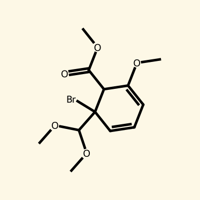 COC(=O)C1C(OC)=CC=CC1(Br)C(OC)OC